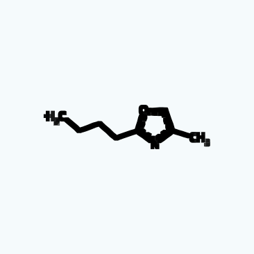 [CH2]CCCc1nc(C)co1